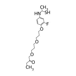 CCC(=O)COCCCOCCCOc1ccc(NC(C)S)cc1F